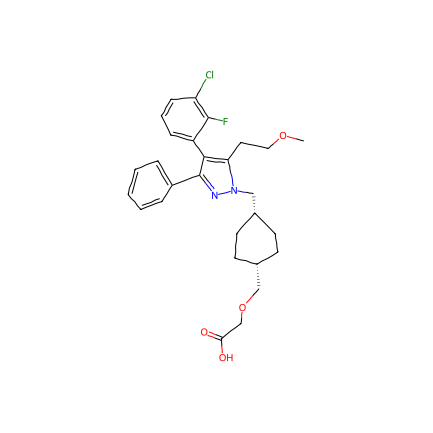 COCCc1c(-c2cccc(Cl)c2F)c(-c2ccccc2)nn1C[C@H]1CC[C@@H](COCC(=O)O)CC1